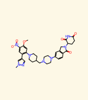 COc1cc(N2CCC(CN3CCN(c4ccc5c(c4)CN(C4CCC(=O)NC4=O)C5=O)CC3)CC2)c(-c2cnn(C)c2)cc1[N+](=O)[O-]